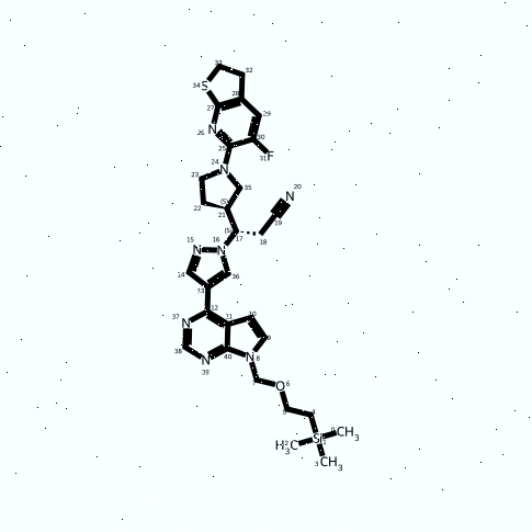 C[Si](C)(C)CCOCn1ccc2c(-c3cnn([C@@H](CC#N)[C@H]4CCN(c5nc6c(cc5F)CCS6)C4)c3)ncnc21